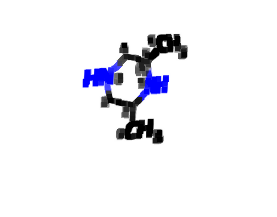 CC1CNC[C@@H](C)N1